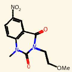 COCCn1c(=O)c2cc([N+](=O)[O-])ccc2n(C)c1=O